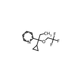 CCC(OCC(F)(F)F)(c1ccccn1)C1CC1